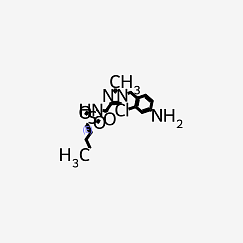 CCC/C=C/S(=O)(=O)NC(=O)c1cn(Cc2ccc(N)cc2Cl)c(C)n1